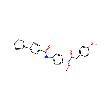 COc1ccc(CC(=O)N(OC)c2ccc(NC(=O)c3ccc(-c4ccccc4)cc3)cc2)cc1